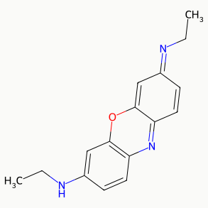 CC/N=c1\ccc2nc3ccc(NCC)cc3oc-2c1